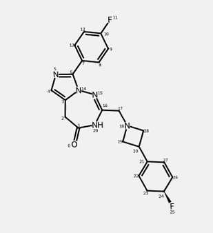 O=C1Cc2cnc(-c3ccc(F)cc3)n2N=C(CN2CC(C3=CC[C@H](F)C=C3)C2)N1